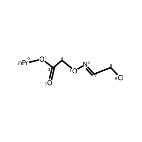 CCCOC(=O)CON=CCCl